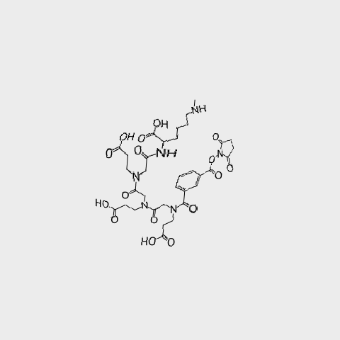 CNCCCCC(NC(=O)CN(CCC(=O)O)C(=O)CN(CCC(=O)O)C(=O)CN(CCC(=O)O)C(=O)c1cccc(C(=O)ON2C(=O)CCC2=O)c1)C(=O)O